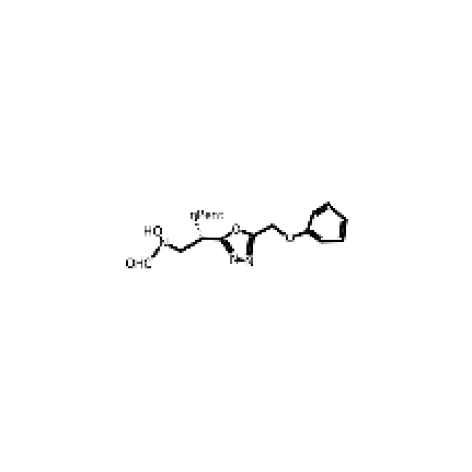 CCCCC[C@@H](CN(O)C=O)c1nnc(COc2ccccc2)o1